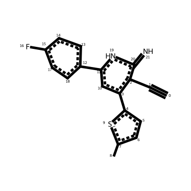 C#Cc1c(-c2ccc(C)s2)cc(-c2ccc(F)cc2)[nH]c1=N